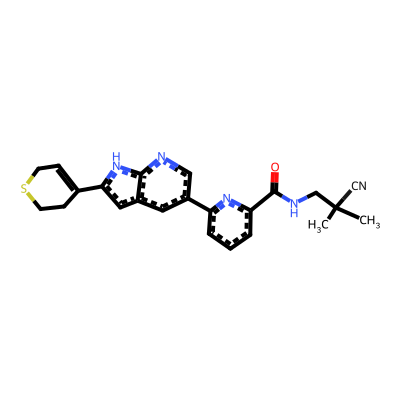 CC(C)(C#N)CNC(=O)c1cccc(-c2cnc3[nH]c(C4=CCSCC4)cc3c2)n1